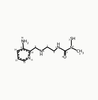 CN(S)C(=O)NCCNCc1ncccc1N